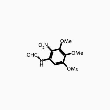 COc1cc(NC=O)c([N+](=O)[O-])c(OC)c1OC